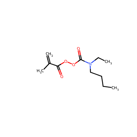 C=C(C)C(=O)OOC(=O)N(CC)CCCC